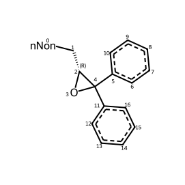 CCCCCCCCCC[C@H]1OC1(c1ccccc1)c1ccccc1